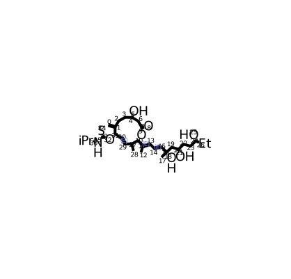 C=C1CCC(O)CC(=O)OC(/C(C)=C/C=C/C(C)(O)CC(O)CCC(O)CC)C(C)/C=C/C1OC(=S)NC(C)C